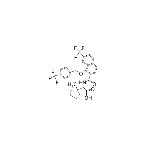 CC1([C@H](NC(=O)c2ccc3ccc(C(F)(F)F)cc3c2OCc2ccc(C(F)(F)F)cc2)C(=O)O)CCCC1